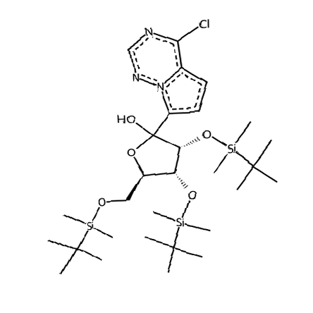 CC(C)(C)[Si](C)(C)OC[C@H]1OC(O)(c2ccc3c(Cl)ncnn23)[C@H](O[Si](C)(C)C(C)(C)C)[C@@H]1O[Si](C)(C)C(C)(C)C